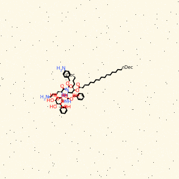 CCCCCCCCCCCCCCCCCCCCCCCCCC(=O)O[C@H](CCCCCCCCCCCCCC)[C@@H](O)[C@H](CO[C@H]1O[C@H](CO)[C@H](O)[C@H](O)[C@H]1O)N(C(=O)OCc1ccc(N)cc1)C(=O)[C@H](CCCCN)NC(=O)[C@H](Cc1ccccc1)NC(=O)OCc1ccccc1